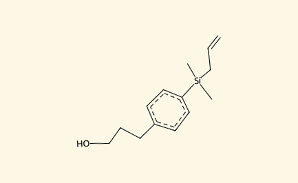 C=CC[Si](C)(C)c1ccc(CCCO)cc1